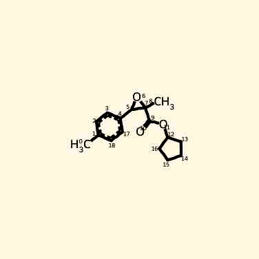 Cc1ccc(C2OC2(C)C(=O)OC2CCCC2)cc1